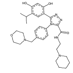 CC(C)c1cc(-c2nnc(C(=O)NCCN3CCCCC3)n2-c2ccc(CN3CCOCC3)cc2)c(O)cc1O